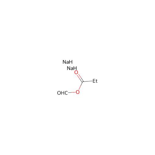 CCC(=O)OC=O.[NaH].[NaH]